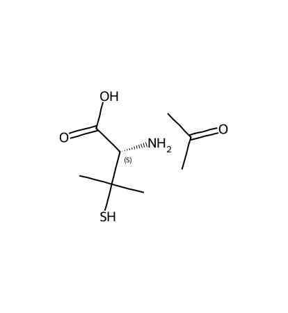 CC(C)(S)[C@@H](N)C(=O)O.CC(C)=O